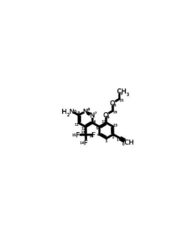 C#Cc1ccc(-c2nnc(N)cc2C(F)(F)F)c(OCOCC)c1